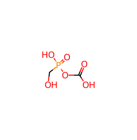 O=C(O)OP(=O)(O)CO